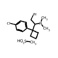 CC(C)CC(N(C)C)C1(c2ccc(Cl)cc2)CCC1.CS(=O)(=O)O